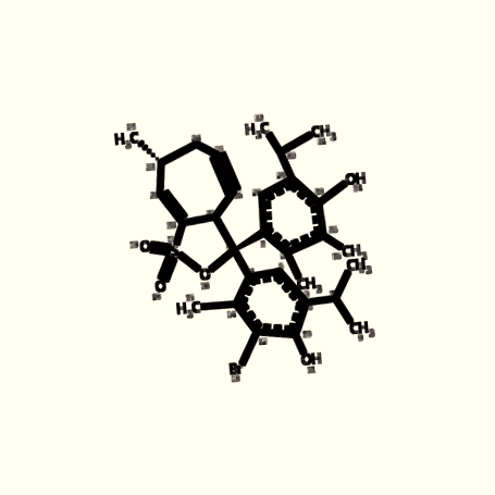 Cc1c([C@@]2(c3cc(C(C)C)c(O)c(Br)c3C)OS(=O)(=O)C3=C[C@H](C)CC#CC32)cc(C(C)C)c(O)c1C